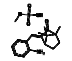 CC12CCC(C(=Cc3ccccc3N)C1=O)C2(C)C.COS(=O)(=O)O